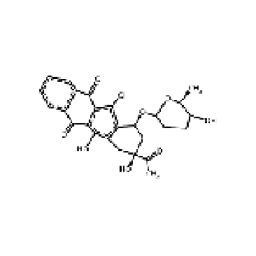 CC(=O)[C@]1(O)Cc2c(O)c3c(c(O)c2[C@@H](OC2CC[C@H](O)[C@H](C)O2)C1)C(=O)c1ccccc1C3=O